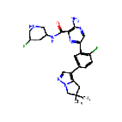 CC1(C)Cc2c(-c3ccc(F)c(-c4cnc(N)c(C(=O)NC5CNCC(F)C5)n4)c3)cnn2C1